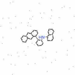 c1ccc(-c2cccc3cc4ccccc4cc23)c(Nc2cccc3ccccc23)c1